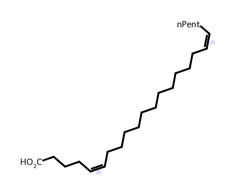 CCCCC/C=C\CCCCCCCCCCC/C=C\CCCC(=O)O